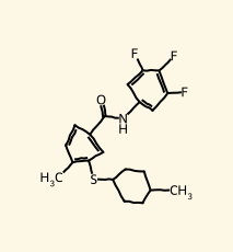 Cc1ccc(C(=O)Nc2cc(F)c(F)c(F)c2)cc1SC1CCC(C)CC1